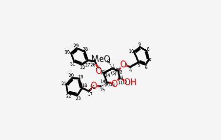 CO[C@@H]1[C@@H](OCc2ccccc2)[C@@H](O)O[C@H](COCc2ccccc2)[C@H]1OCc1ccccc1